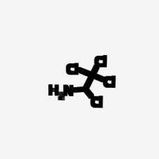 NC(Cl)C(Cl)(Cl)Cl